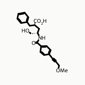 COCC#Cc1ccc(C(=O)N[C@H](CO)C[C@H](Cc2ccccc2)C(=O)O)cc1